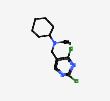 CN(Cc1cnc(Cl)nc1Cl)C1CCCCC1